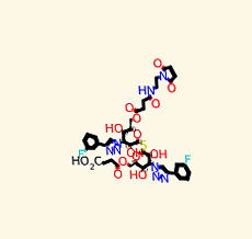 O=C(O)CCC(=O)OC[C@H]1O[C@@H](S[C@@H]2O[C@H](COC(=O)CCC(=O)NCCN3C(=O)C=CC3=O)[C@H](O)[C@H](n3cc(-c4cccc(F)c4)nn3)[C@H]2O)[C@H](O)[C@@H](n2cc(-c3cccc(F)c3)nn2)[C@H]1O